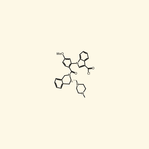 COc1ccc(C(=O)N2Cc3ccccc3C[C@H]2CN2CCN(C)CC2)c(-n2cc(C(=O)Cl)c3ccccc32)c1